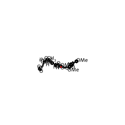 COc1ccc(C2=CN3C(=O)c4cc(OC)c(OCCCOc5cc6c(cc5OC)C(=O)N5C=C(c7ccc(NC(=O)C(C)NC(=O)C(NC(=O)CCCCCN8C(=O)C=CC8=O)C(C)C)cc7)C[C@H]5C=N6)cc4N=CC3C2)cc1